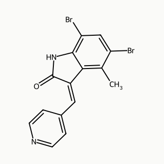 Cc1c(Br)cc(Br)c2c1C(=Cc1ccncc1)C(=O)N2